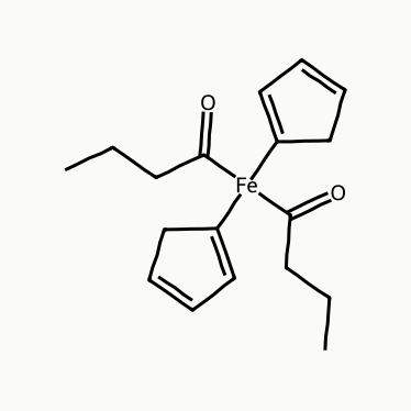 CCC[C](=O)[Fe]([C](=O)CCC)([C]1=CC=CC1)[C]1=CC=CC1